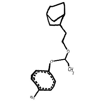 CCC(C)c1ccc(OC(C)OCCC2CC3CCC2C3)cc1